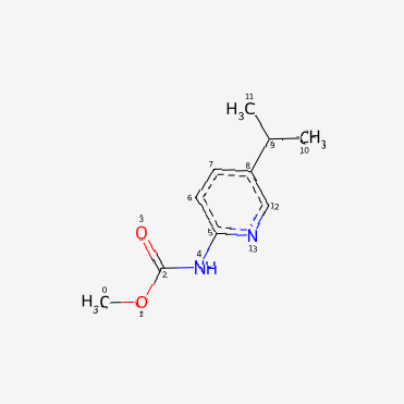 COC(=O)Nc1ccc(C(C)C)cn1